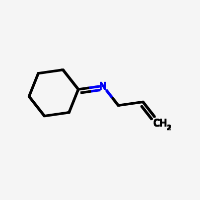 C=CCN=C1CCCCC1